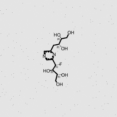 OC[C@@H](O)[C@@H](O)[C@@H](F)c1cncc(C[C@@H](O)[C@H](O)CO)n1